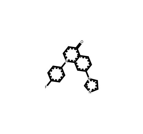 O=c1ccn(-c2ccc(F)cc2)c2cc(-n3ccnc3)ccc12